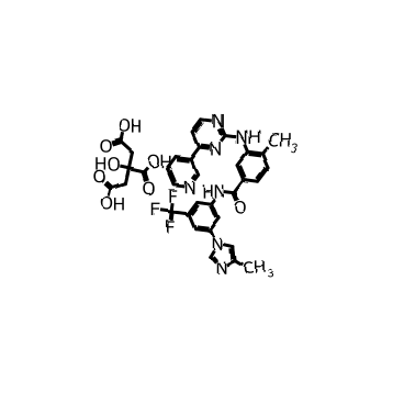 Cc1cn(-c2cc(NC(=O)c3ccc(C)c(Nc4nccc(-c5cccnc5)n4)c3)cc(C(F)(F)F)c2)cn1.O=C(O)CC(O)(CC(=O)O)C(=O)O